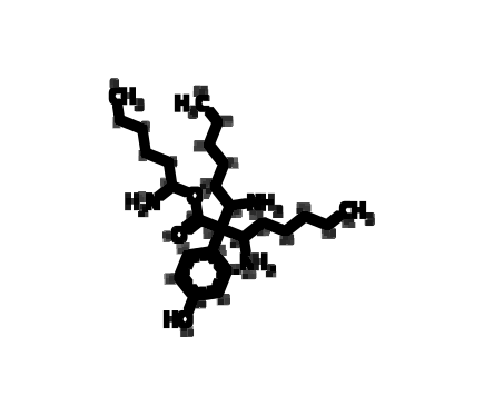 CCCCCC(N)OC(=O)C(c1ccc(O)cc1)(C(N)CCCCC)C(N)CCCCC